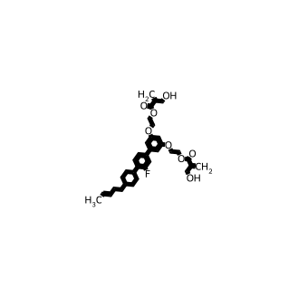 C=C(CO)C(=O)OCCOc1cc(OCCOC(=O)C(=C)CO)cc(-c2ccc(C3CCC(CC/C=C/C)CC3)c(F)c2)c1